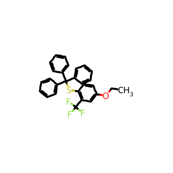 CCOc1ccc(SC(c2ccccc2)(c2ccccc2)c2ccccc2)c(C(F)(F)F)c1